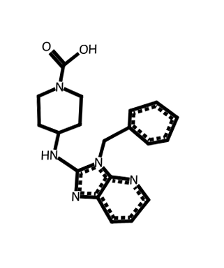 O=C(O)N1CCC(Nc2nc3cccnc3n2Cc2ccccc2)CC1